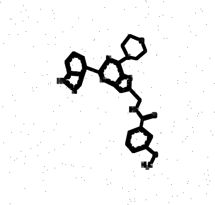 COc1cccc(C(=O)NCc2cc3nc(-c4cccc5[nH]ncc45)nc(N4CCOCC4)c3s2)c1